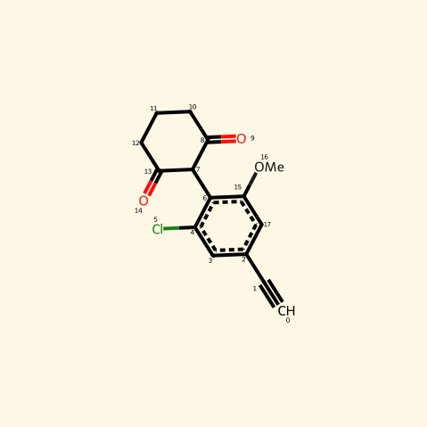 C#Cc1cc(Cl)c(C2C(=O)CCCC2=O)c(OC)c1